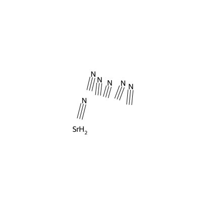 C#N.C#N.C#N.C#N.C#N.C#N.[SrH2]